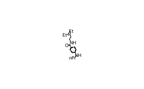 CCCNc1ccc(C(=O)NCCN(CC)CC)cc1